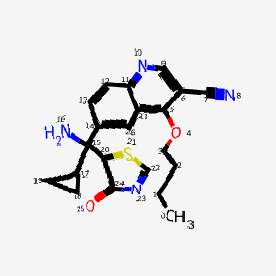 CCCCOc1c(C#N)cnc2ccc(C(N)(C3CC3)C3SC=NC3=O)cc12